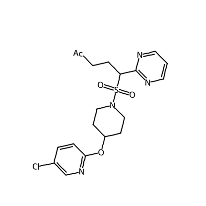 CC(=O)CCC(c1ncccn1)S(=O)(=O)N1CCC(Oc2ccc(Cl)cn2)CC1